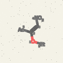 CCOC(=C[N+](=O)[O-])C(C)=O